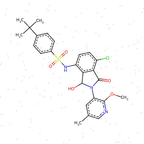 COc1ncc(C)cc1N1C(=O)c2c(Cl)ccc(NS(=O)(=O)c3ccc(C(C)(C)C)cc3)c2C1O